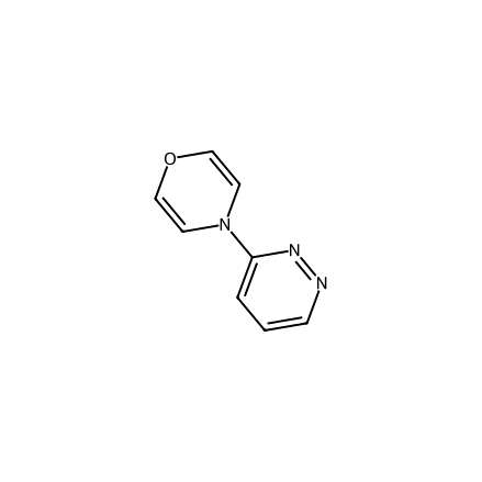 C1=CN(c2cccnn2)C=CO1